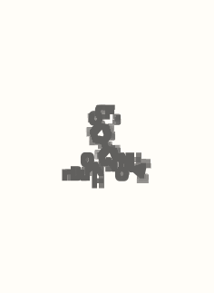 CCCCC(=O)Nc1cc(-c2ccc(OC(F)(F)F)cc2)cc(NC(=O)C2CC2)n1